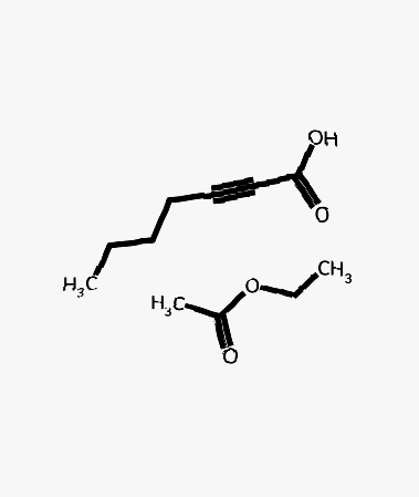 CCCCC#CC(=O)O.CCOC(C)=O